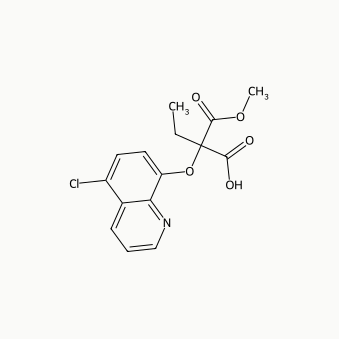 CCC(Oc1ccc(Cl)c2cccnc12)(C(=O)O)C(=O)OC